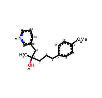 COc1ccc(CCCC(C)(O)Cc2cccnc2)cc1